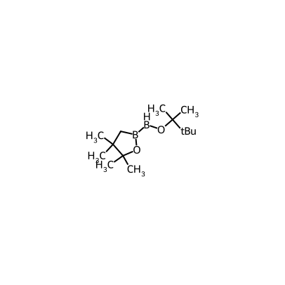 CC(C)(C)C(C)(C)OBB1CC(C)(C)C(C)(C)O1